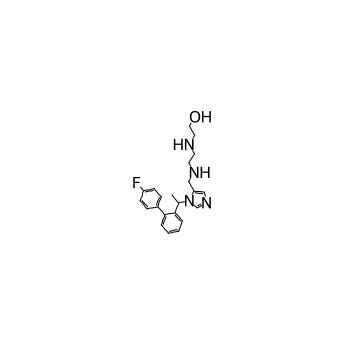 CC(c1ccccc1-c1ccc(F)cc1)n1cncc1CNCCNCCO